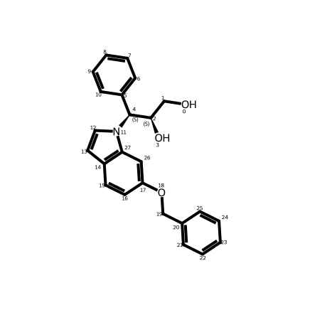 OC[C@@H](O)[C@H](c1ccccc1)n1ccc2ccc(OCc3ccccc3)cc21